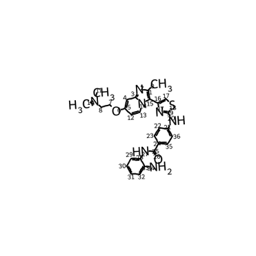 Cc1nc2cc(OCCN(C)C)ccn2c1-c1csc(Nc2ccc(C(=O)Nc3ccccc3N)cc2)n1